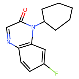 O=c1cnc2ccc(F)cc2n1C1CCCCC1